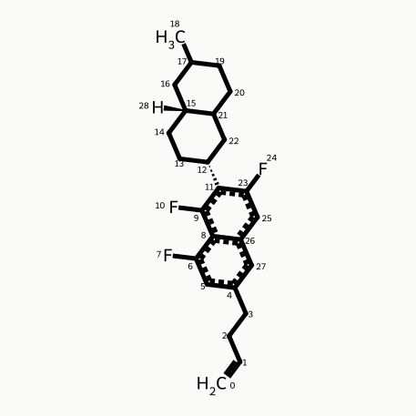 C=CCCc1cc(F)c2c(F)c([C@@H]3CC[C@@H]4CC(C)CCC4C3)c(F)cc2c1